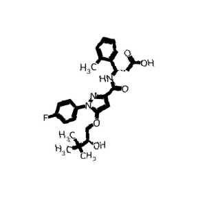 Cc1ccccc1[C@H](CC(=O)O)NC(=O)c1cc(OC[C@@H](O)C(C)(C)C)n(-c2ccc(F)cc2)n1